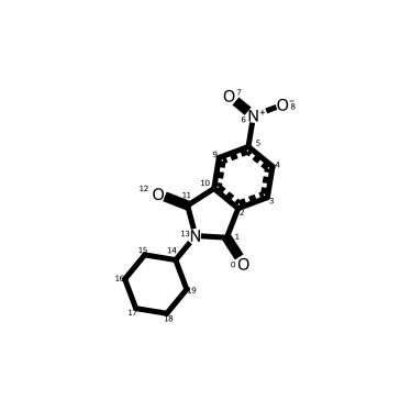 O=C1c2ccc([N+](=O)[O-])cc2C(=O)N1C1CCCCC1